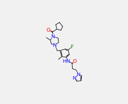 Cc1c(CN2CCN(C(=O)C3CCCC3)C(C)C2)cc(F)cc1NC(=O)CCn1cccn1